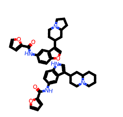 O=C(Nc1ccc2[nH]cc(C3CCN4CCCCC4C3)c2c1)c1ccco1.O=C(Nc1ccc2occ(C3CCN4CCCC4C3)c2c1)c1ccco1